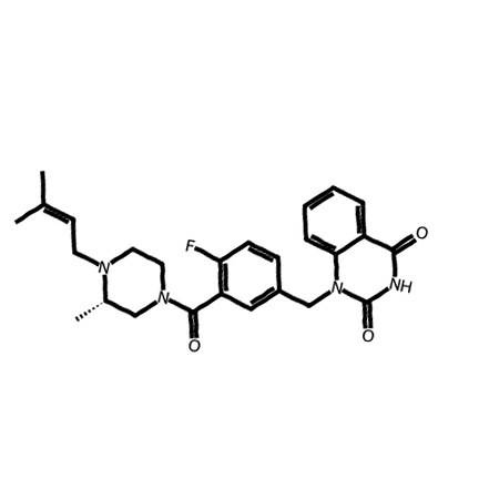 CC(C)=CCN1CCN(C(=O)c2cc(Cn3c(=O)[nH]c(=O)c4ccccc43)ccc2F)C[C@@H]1C